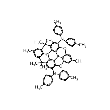 Cc1ccc(N(c2ccc(C)cc2)c2cc3c4c5c2Oc2cc(C)cc6c2P5c2c(c(N(c5ccc(C)cc5)c5ccc(C)cc5)cc5c2N4c2c(cc(C)cc2C5(C)C)C3(C)C)O6)cc1